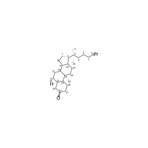 CC(C)CCC[C@@H](C)[C@H]1CCC2C3CC[C@@H]4CC(=O)CC[C@]4(C)C3CC[C@@]21C